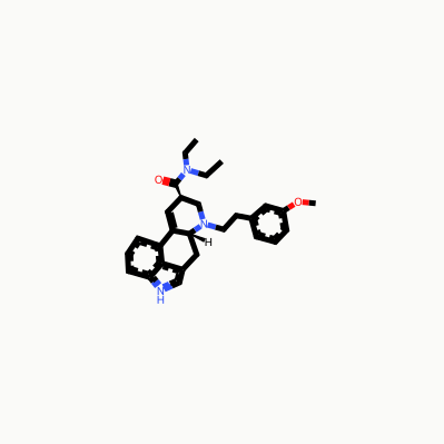 CCN(CC)C(=O)[C@@H]1C=C2c3cccc4[nH]cc(c34)C[C@H]2N(CCc2cccc(OC)c2)C1